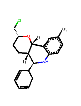 FC(F)(F)c1ccc2c(c1)[C@H]1O[C@@H](CCl)CC[C@H]1[C@H](C1C=CC=CC1)N2